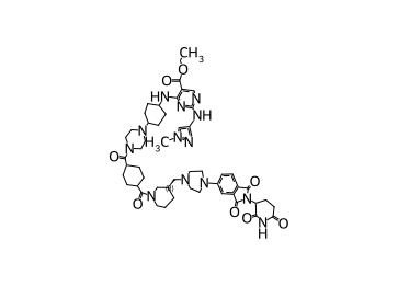 CCOC(=O)c1cnc(Nc2cnn(C)c2)nc1NC1CCC(N2CCN(C(=O)C3CCC(C(=O)N4CCC[C@H](CN5CCN(c6ccc7c(c6)C(=O)N(C6CCC(=O)NC6=O)C7=O)CC5)C4)CC3)CC2)CC1